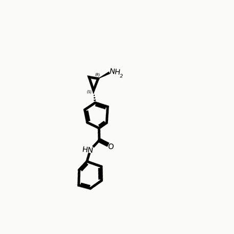 N[C@@H]1C[C@H]1c1ccc(C(=O)Nc2ccccc2)cc1